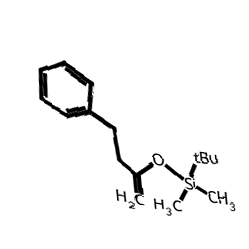 C=C(CCc1ccccc1)O[Si](C)(C)C(C)(C)C